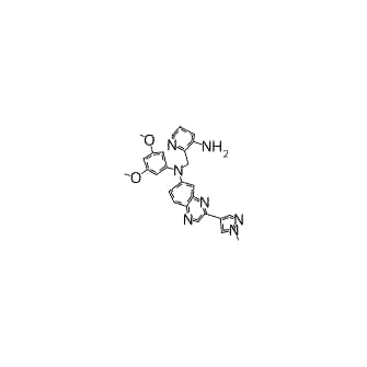 COc1cc(OC)cc(N(Cc2ncccc2N)c2ccc3ncc(-c4cnn(C)c4)nc3c2)c1